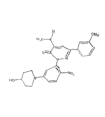 CCN(C)c1cc(-c2cccc(OC)c2)nn(-c2cc(N3CCC(O)CC3)ccc2[N+](=O)[O-])c1=O